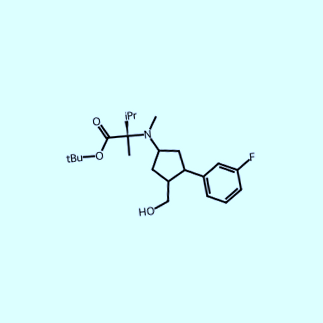 CC(C)[C@@](C)(C(=O)OC(C)(C)C)N(C)C1CC(CO)C(c2cccc(F)c2)C1